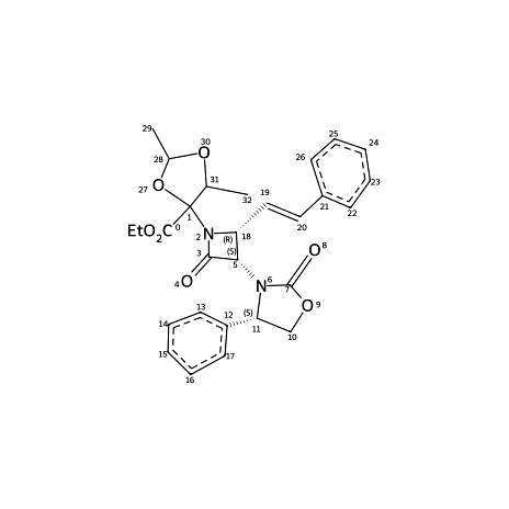 CCOC(=O)C1(N2C(=O)[C@@H](N3C(=O)OC[C@@H]3c3ccccc3)[C@H]2C=Cc2ccccc2)OC(C)OC1C